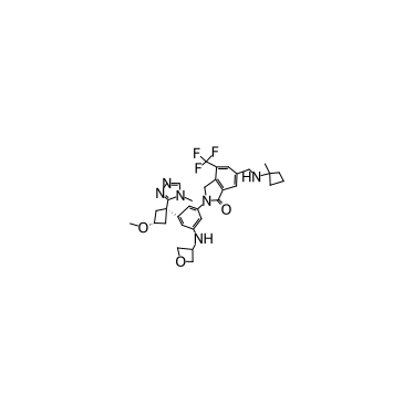 CO[C@H]1C[C@](c2cc(NC3COC3)cc(N3Cc4c(cc(CNC5(C)CCC5)cc4C(F)(F)F)C3=O)c2)(c2nncn2C)C1